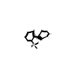 [CH3][Sn]([CH3])([CH3])[c]1ccccc1-c1ccccc1